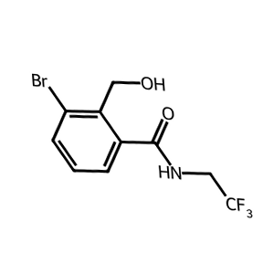 O=C(NCC(F)(F)F)c1cccc(Br)c1CO